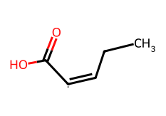 CC/C=[C]\C(=O)O